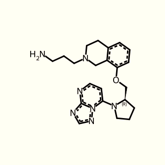 NCCCN1CCc2cccc(OC[C@H]3CCCN3c3ccnc4ncnn34)c2C1